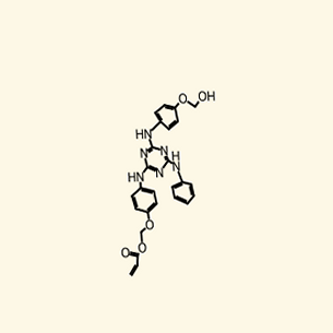 C=CC(=O)OCOc1ccc(Nc2nc(Nc3ccccc3)nc(Nc3ccc(OCO)cc3)n2)cc1